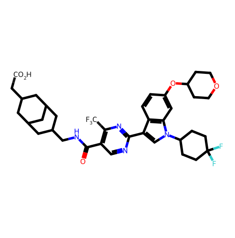 O=C(O)CC1CC2CC(CNC(=O)c3cnc(-c4cn(C5CCC(F)(F)CC5)c5cc(OC6CCOCC6)ccc45)nc3C(F)(F)F)CC(C1)C2